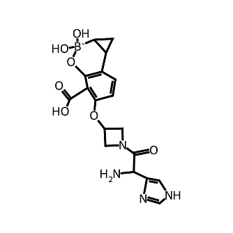 NC(C(=O)N1CC(Oc2ccc3c(c2C(=O)O)O[B-](O)(O)C2CC32)C1)c1c[nH]cn1